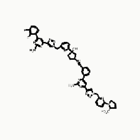 Nc1nc(-c2cccc(C#[N+]C3CCC(O)(c4cccc(Cn5cc(-c6cc(-c7cccc(F)c7F)nc(N)n6)nn5)n4)C3)c2)cc(-c2cn(Cc3cccc(N4CCC[C@@H]4C(=O)O)n3)nn2)n1